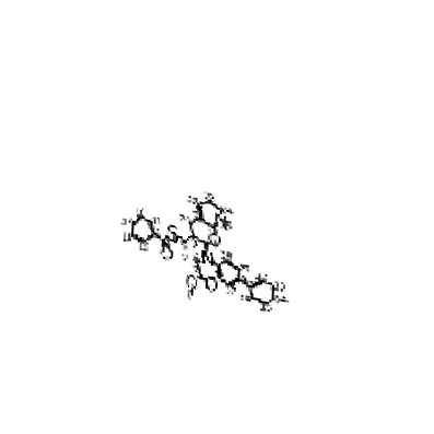 COC(=O)[C@H](C)N(C(=O)C(CSC(=O)c1ccccc1)Cc1cccnc1)c1ccc(-c2ccccc2)cc1